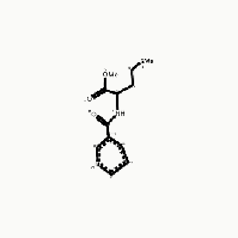 COC(=O)C(CCSC)NC(=O)c1cccnc1